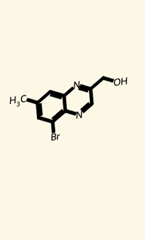 Cc1cc(Br)c2ncc(CO)nc2c1